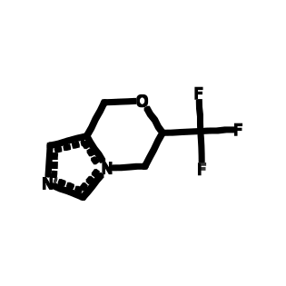 FC(F)(F)C1Cn2cncc2CO1